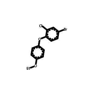 CCOc1ccc(Oc2ccc(Br)cc2Cl)cc1